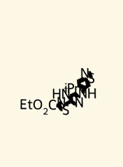 CCOC(=O)c1csc(-c2cnc(Nc3ccc4ncsc4c3)cc2NC(C)C)n1